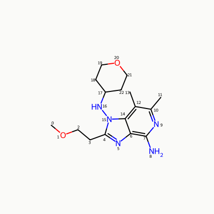 COCCc1nc2c(N)nc(C)c(C)c2n1NC1CCOCC1